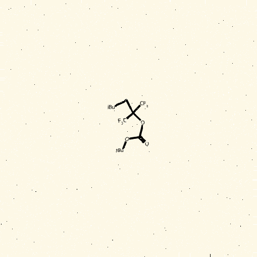 CCC(C)CC(OC(=O)OC(C)(C)C)(C(F)(F)F)C(F)(F)F